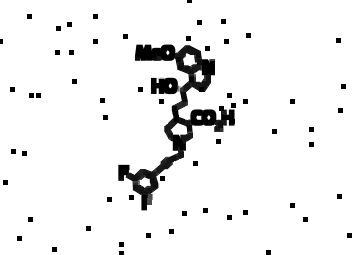 COc1ccc2nccc([C@@H](O)CC[C@@H]3CCN(CC#Cc4cc(F)cc(F)c4)C[C@@H]3C(=O)O)c2c1